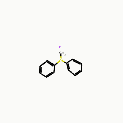 C[S+](c1ccccc1)c1ccccc1.[I-]